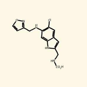 O=C(O)NCc1cc2cc(Cl)c(NCc3ccon3)cc2[nH]1